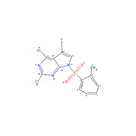 Cc1ccccc1S(=O)(=O)n1cc(I)c2c(Cl)nc(Cl)nc21